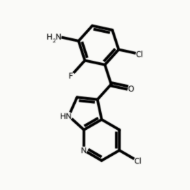 Nc1ccc(Cl)c(C(=O)c2c[nH]c3ncc(Cl)cc23)c1F